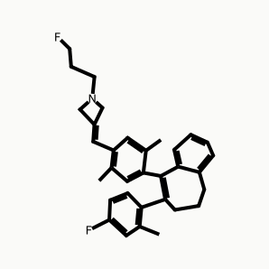 Cc1cc(C2=C(c3ccc(F)cc3C)CCCc3ccccc32)c(C)cc1C=C1CN(CCCF)C1